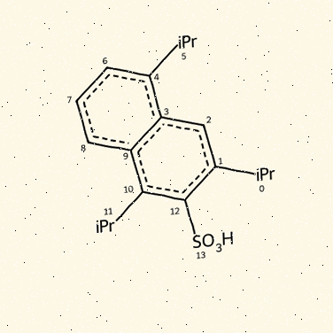 CC(C)c1cc2c(C(C)C)cccc2c(C(C)C)c1S(=O)(=O)O